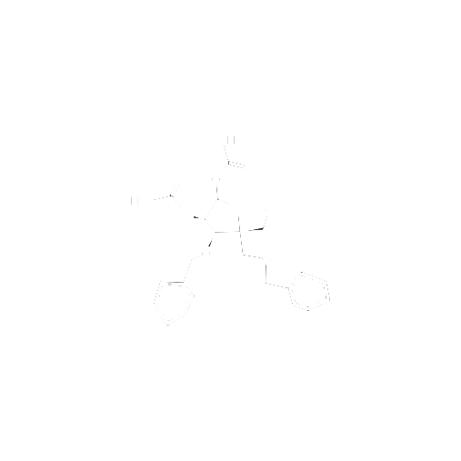 CC(=O)OC1O[C@](CCl)(COCc2ccccc2)[C@@H](OCc2ccccc2)[C@H]1OC(C)=O